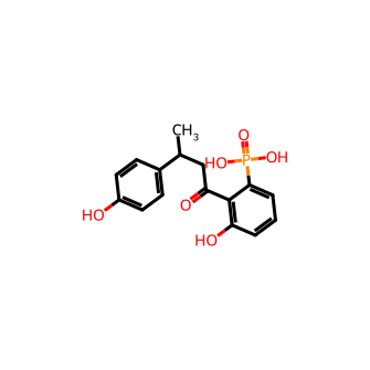 CC(CC(=O)c1c(O)cccc1P(=O)(O)O)c1ccc(O)cc1